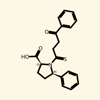 O=C(CCC(=S)N1[C@@H](c2ccccc2)CC[C@H]1C(=O)O)c1ccccc1